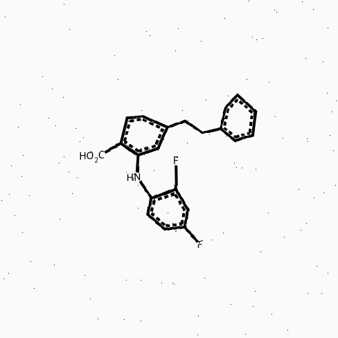 O=C(O)c1ccc(CCc2ccccc2)cc1Nc1ccc(F)cc1F